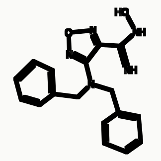 N=C(NO)c1nonc1N(Cc1ccccc1)Cc1ccccc1